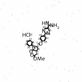 COC(=O)C[C@@H]1C[C@@H](COc2ccc(-c3ncc(C(=N)N)cn3)cc2)N(c2ccccc2)C1=O.Cl